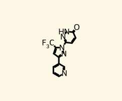 O=c1ccc(-n2nc(-c3cccnc3)cc2C(F)(F)F)n[nH]1